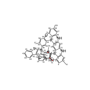 Cc1cc2c3c(c1)Nc1c(sc4ccccc14)B3c1cc3c(cc1N2)Nc1cc(C)cc2c1B3c1cc(B3c4sc5ccccc5c4Oc4cc(C)cc(C)c43)c(C)cc1O2